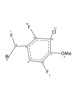 COc1c(F)cc(C(F)Br)c(F)c1Cl